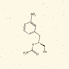 NC(=O)O[C@H](CO)Cc1cccc([N+](=O)[O-])c1